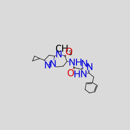 CN1C(=O)C(NC(=O)c2nnc(CC3=CCCC=C3)[nH]2)CCN2N=C(C3CC3)CC21